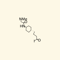 CNCC(=O)N[C@H]1CC[C@H](CCCC(=O)I)CC1